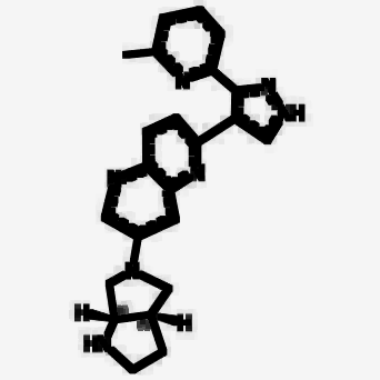 Cc1cccc(-c2n[nH]cc2-c2ccc3ncc(N4C[C@@H]5CCN[C@@H]5C4)cc3n2)n1